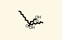 CCCCCCCCCC(CCCCCCC)(CCCC(=O)O)C(=O)O